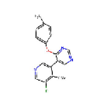 COc1c(Cl)cncc1-c1cncnc1Oc1ccc(C(F)(F)F)cc1